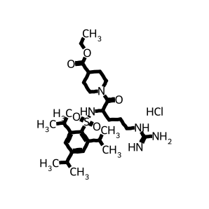 CCOC(=O)C1CCN(C(=O)C(CCCNC(=N)N)NS(=O)(=O)c2c(C(C)C)cc(C(C)C)cc2C(C)C)CC1.Cl